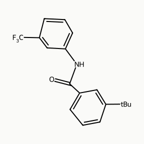 CC(C)(C)c1cccc(C(=O)Nc2cccc(C(F)(F)F)c2)c1